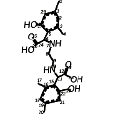 Cc1cc(C)c(C(NCCNC(C(=O)O)c2c(C)cc(C)cc2O)C(=O)O)c(O)c1